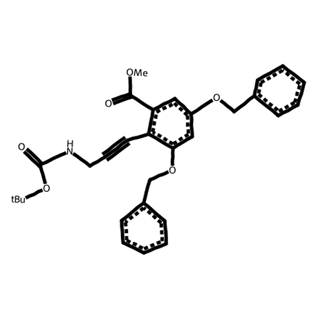 COC(=O)c1cc(OCc2ccccc2)cc(OCc2ccccc2)c1C#CCNC(=O)OC(C)(C)C